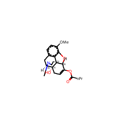 CCCC(=O)OC1=CC[C@@]2(O)[C@H]3Cc4ccc(OC)c5c4[C@@]2(CCN3C)[C@H]1O5